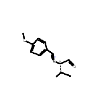 COc1ccc(/C=N/[C@H](C=O)C(C)C)cc1